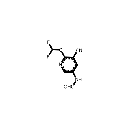 N#Cc1cc(NC=O)cnc1OC(F)F